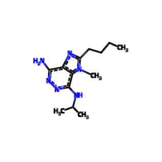 CCCCc1nc2c(N)nnc(NC(C)C)c2n1C